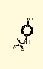 CS(=O)(=O)Nc1ccc([NH])cc1